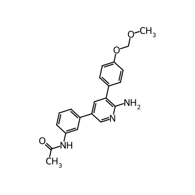 COCOc1ccc(-c2cc(-c3cccc(NC(C)=O)c3)cnc2N)cc1